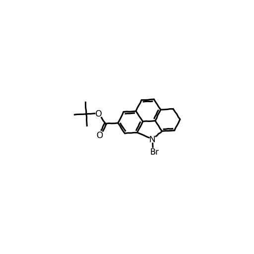 CC(C)(C)OC(=O)c1cc2ccc3c4c(n(Br)c(c1)c24)=CCC3